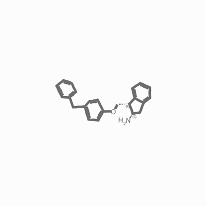 N[C@H]1Cc2ccccc2[C@H]1COc1ccc(Cc2ccccc2)cc1